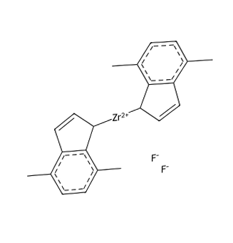 Cc1ccc(C)c2c1C=C[CH]2[Zr+2][CH]1C=Cc2c(C)ccc(C)c21.[F-].[F-]